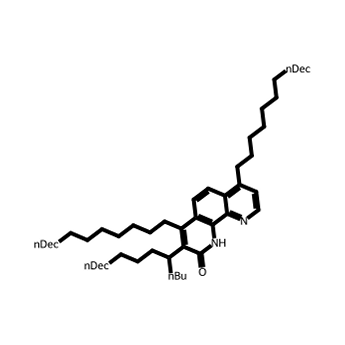 CCCCCCCCCCCCCCCCCc1ccnc2c1ccc1c(CCCCCCCCCCCCCCCCC)c(C(CCCC)CCCCCCCCCCCCC)c(=O)[nH]c12